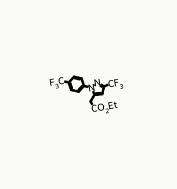 CCOC(=O)Cc1cc(C(F)(F)F)nn1-c1ccc(C(F)(F)F)cc1